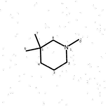 [CH]N1CCCC(C)(C)C1